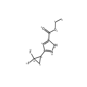 CCOC(=O)c1cc(C2CC2(F)F)n[nH]1